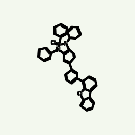 O=P1(c2ccccc2)N(c2ccccc2)c2ccc(-c3cccc(-c4cccc5c4oc4ccccc45)c3)cc2N1c1ccccc1